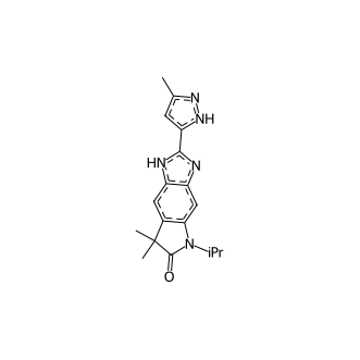 Cc1cc(-c2nc3cc4c(cc3[nH]2)C(C)(C)C(=O)N4C(C)C)[nH]n1